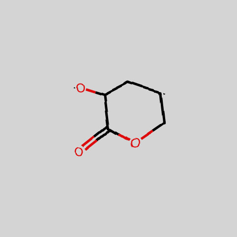 [O]C1C[CH]COC1=O